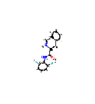 O=C(Nc1c(F)cccc1F)C1Cc2ccccc2C=N1